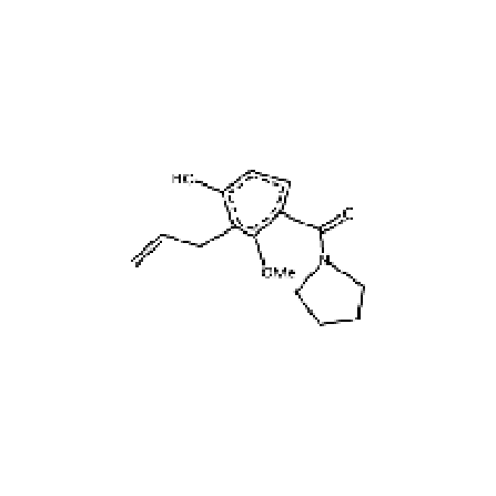 C=CCc1c(O)ccc(C(=O)N2CCCC2)c1OC